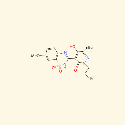 CCCCc1nn(CCC(C)C)c(=O)c(C2=Nc3ccc(OC)cc3S(=O)(=O)N2)c1O